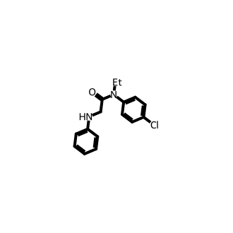 CCN(C(=O)CNc1ccccc1)c1ccc(Cl)cc1